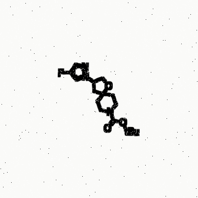 CC(C)(C)OC(=O)N1CCC2(CC1)CC(n1cc(F)cn1)CO2